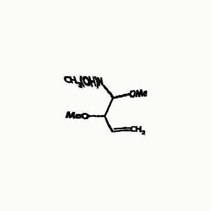 C=CC(OC)C(OC)N(C)O